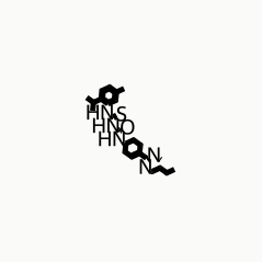 CCC/C=N\C(=N/C)C1=CCC(NC(=O)NC(=S)Nc2cc(C)ccc2C(C)C)CC1